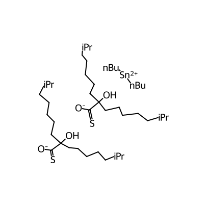 CC(C)CCCCCC(O)(CCCCCC(C)C)C([O-])=S.CC(C)CCCCCC(O)(CCCCCC(C)C)C([O-])=S.CCC[CH2][Sn+2][CH2]CCC